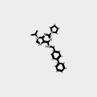 CC(C)n1cnc2c(NCc3ccc(-c4ccccc4)cc3)nc(N3CCCC3)nc21